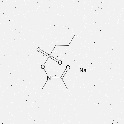 CCCS(=O)(=O)ON(C)C(C)=O.[Na]